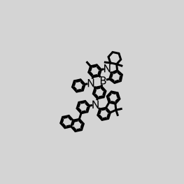 Cc1cc2c3c(c1)N1c4c(cccc4C4(C)CCCCC14C)B3c1ccc(N(c3cccc(-c4cccc5ccccc45)c3)c3cccc4c3-c3ccccc3C4(C)C)cc1N2c1ccccc1